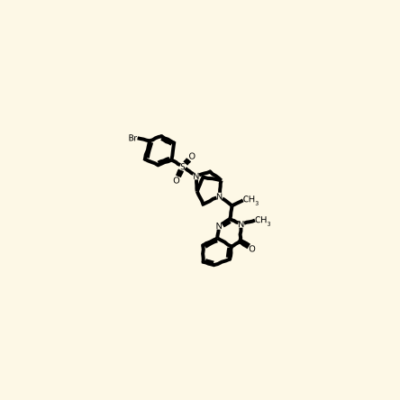 CC(c1nc2ccccc2c(=O)n1C)N1CC2CC1CN2S(=O)(=O)c1ccc(Br)cc1